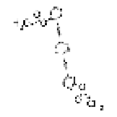 C=CC(=O)Oc1cccc(C#Cc2ccc(C#Cc3ccccc3OC(=O)C=C)cc2)c1